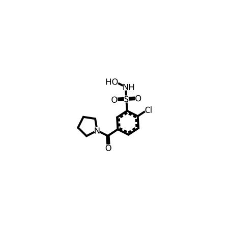 O=C(c1ccc(Cl)c(S(=O)(=O)NO)c1)N1CCCC1